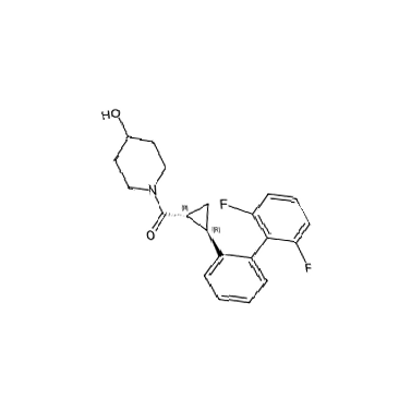 O=C([C@@H]1C[C@H]1c1ccccc1-c1c(F)cccc1F)N1CCC(O)CC1